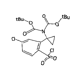 CC(C)(C)OC(=O)N(C(=O)OC(C)(C)C)C1(c2cc(Cl)ccc2S(=O)(=O)Cl)CC1